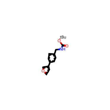 CC(C)(C)OC(=O)NCc1ccc(-c2ccoc2)cc1